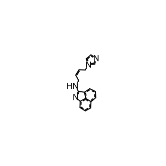 C(=C/Cn1ccnc1)/CNC1=Nc2cccc3cccc1c23